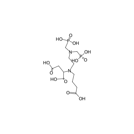 O=C(O)CCCN(CCN(CP(=O)(O)O)CP(=O)(O)O)C(CC(=O)O)C(=O)O